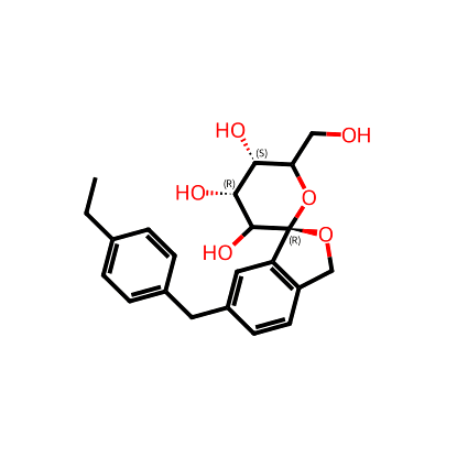 CCc1ccc(Cc2ccc3c(c2)[C@@]2(OC3)OC(CO)[C@@H](O)[C@@H](O)C2O)cc1